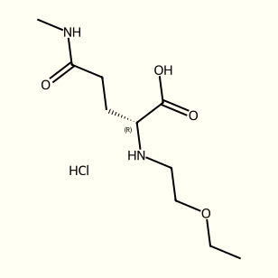 CCOCCN[C@H](CCC(=O)NC)C(=O)O.Cl